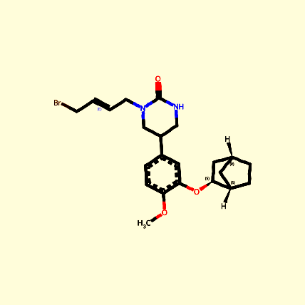 COc1ccc(C2CNC(=O)N(C/C=C/CBr)C2)cc1O[C@H]1C[C@@H]2CC[C@H]1C2